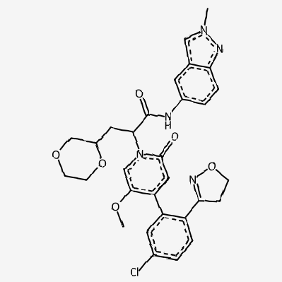 COc1cn(C(CC2COCCO2)C(=O)Nc2ccc3nn(C)cc3c2)c(=O)cc1-c1cc(Cl)ccc1C1=NOCC1